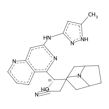 Cc1cc(Nc2cc3ncccc3c([C@@H](O)C3CC4CCC(C3)N4CCC#N)n2)n[nH]1